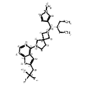 CCC(CC)[C@@H](c1cnn(C)c1)N1CC2(CCN(c3ncnc4sc(CC(F)(F)F)cc34)C2)C1